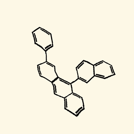 c1ccc(-c2ccc3cc4ccccc4c(-c4ccc5ccccc5c4)c3c2)cc1